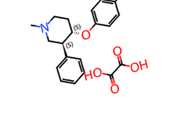 CN1CC[C@H](Oc2ccc(C#N)cc2)[C@@H](c2ccccc2)C1.O=C(O)C(=O)O